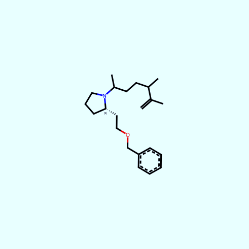 C=C(C)C(C)CCC(C)N1CCC[C@H]1CCOCc1ccccc1